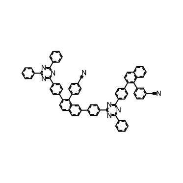 N#Cc1ccc(-c2c(-c3ccc(-c4nc(-c5ccccc5)nc(-c5ccccc5)n4)cc3)ccc3ccc(-c4ccc(-c5nc(-c6ccccc6)nc(-c6ccc(-c7ccc8ccccc8c7-c7cccc(C#N)c7)cc6)n5)cc4)cc23)cc1